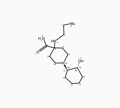 CC(C)(C)CCNC1(C(N)=O)CCN([C@@H]2CCCC[C@H]2O)CC1